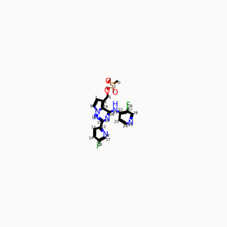 CS(=O)(=O)OCc1ccn2nc(-c3ccc(F)cn3)nc(Nc3ccncc3F)c12